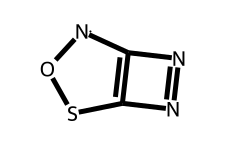 [N]1OSC2=C1N=N2